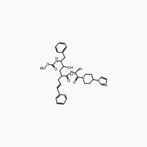 CC(C)[C@H](NC(=O)C(CC=Cc1ccccc1)CC(O)C(Cc1ccccc1)NC(=O)OC(C)(C)C)C(=O)N1CCC(n2ccnc2)CC1